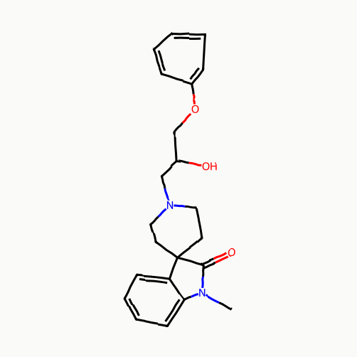 CN1C(=O)C2(CCN(CC(O)COc3ccccc3)CC2)c2ccccc21